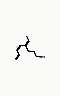 C=C/C=C\C(=C/C)CCCO